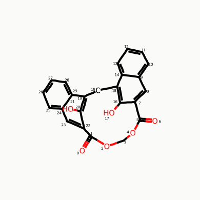 O=C1OCOC(=O)c2cc3ccccc3c(c2O)Cc2c(O)c1cc1ccccc21